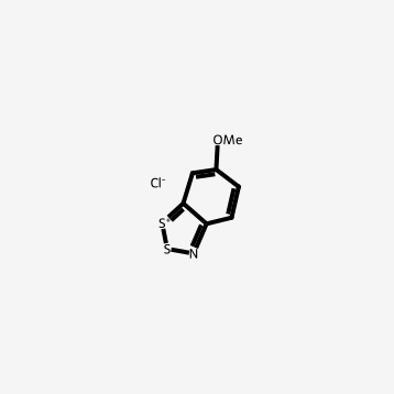 COc1ccc2ns[s+]c2c1.[Cl-]